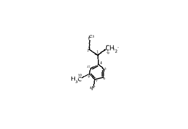 [CH2]C(CF)c1ccc(F)c(C)c1